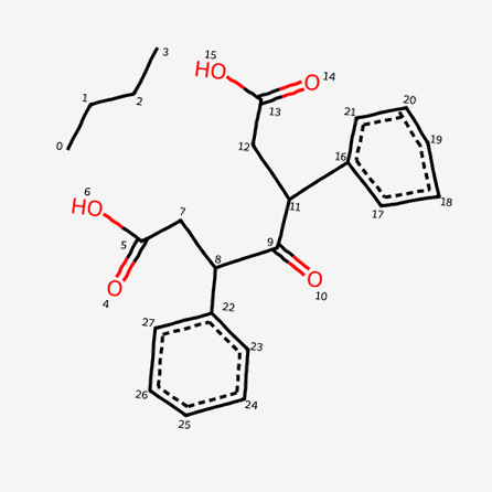 CCCC.O=C(O)CC(C(=O)C(CC(=O)O)c1ccccc1)c1ccccc1